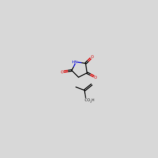 C=C(C)C(=O)O.O=C1CC(=O)C(=O)N1